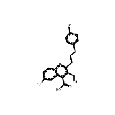 CCc1c(CCCc2ccc(Br)cc2)nc2ccc(C)cc2c1C(=O)O